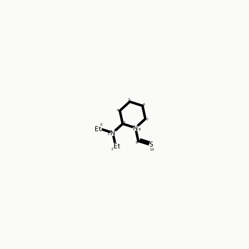 CCN(CC)C1CCCCN1[C]=S